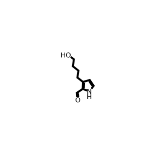 O=Cc1[nH]ccc1CCCCO